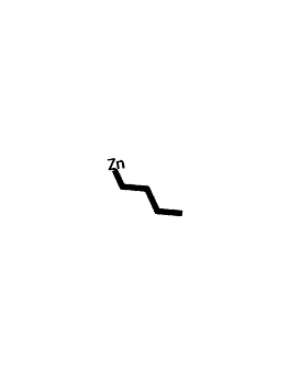 CCC[CH2][Zn]